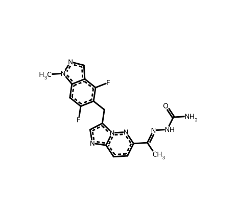 CC(=NNC(N)=O)c1ccc2ncc(Cc3c(F)cc4c(cnn4C)c3F)n2n1